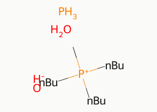 CCCC[P+](C)(CCCC)CCCC.O.P.[OH-]